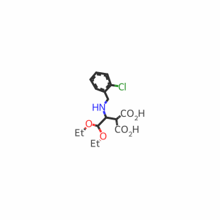 CCOC(OCC)C(NCc1ccccc1Cl)C(C(=O)O)C(=O)O